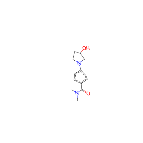 CN(C)C(=O)c1ccc(N2CCC(O)C2)cc1